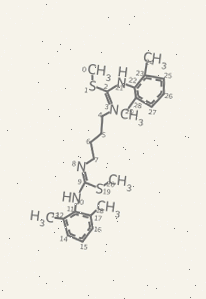 CS/C(=N\CCCC/N=C(/Nc1c(C)cccc1C)SC)Nc1c(C)cccc1C